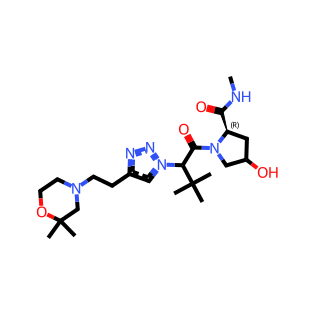 CNC(=O)[C@H]1CC(O)CN1C(=O)C(n1cc(CCN2CCOC(C)(C)C2)nn1)C(C)(C)C